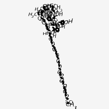 CC(=O)SCCOCCOCCOCCOCCOCCOCCOCCOCCOCCOCCOCCOCCC(=O)NCCOCCOCC(=O)N[C@@H](CC(C)C)C(=O)N[C@H](C(=O)N[C@H](C(=O)N[C@@H](CO)C(=O)N1CCC[C@H]1C(=O)N[C@@H](Cc1c[nH]c2ccccc12)C(=O)N[C@@H](Cc1ccc(O)cc1)C(=O)O)C(C)C)[C@@H](C)O